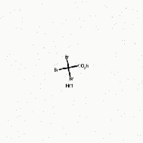 Cl.O=C(O)C(Br)(Br)Br